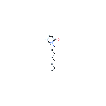 CCCCCCCCn1ccccc1=O